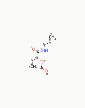 C=CCNC(=O)C(C=C)O[C]=O